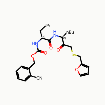 CCCC[C@H](NC(=O)[C@H](CC(C)C)NC(=O)OCc1ccccc1C#N)C(=O)CSCc1ccco1